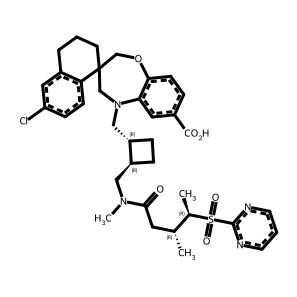 C[C@H](CC(=O)N(C)C[C@@H]1CC[C@H]1CN1CC2(CCCc3cc(Cl)ccc32)COc2ccc(C(=O)O)cc21)[C@@H](C)S(=O)(=O)c1ncccn1